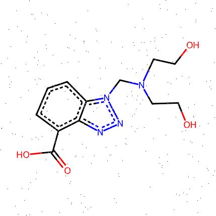 O=C(O)c1cccc2c1nnn2CN(CCO)CCO